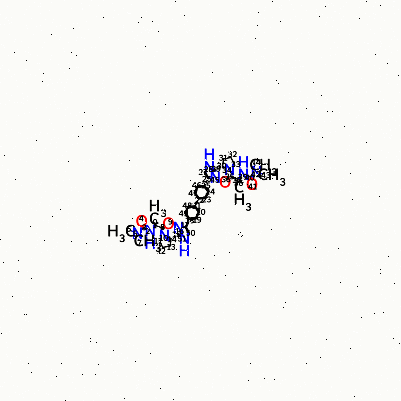 C[C@H](NC(=O)N(C)C)C(=O)N1CCC[C@H]1c1nc(-c2ccc(-c3ccc(-c4c[nH]c([C@@H]5CCCN5C(=O)[C@H](C)NC(=O)N(C)C)n4)cc3)cc2)c[nH]1